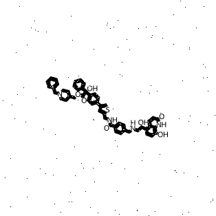 O=C(NCc1cc(-c2ccc([C@](O)(C(=O)OCC3CCN(Cc4ccccc4)CC3)c3ccccc3)cc2)cs1)c1ccc(CNC[C@H](O)c2ccc(O)c3[nH]c(=O)ccc23)cc1